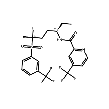 CC[C@H](CC[C@@](C)(F)S(=O)(=O)c1cccc(C(F)(F)F)c1)NC(=O)c1cc(C(F)(F)F)ccn1